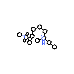 C1=C(c2ccc(-c3ccccc3)cc2)NC(c2ccccc2)N=C1c1cccc(-c2cccc(-c3cccc(-c4ccc5c(c4)C4(c6ccccc6-5)c5ccccc5N(c5ccccc5)c5ccccc54)c3)c2)c1